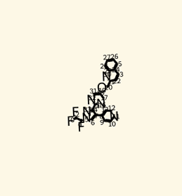 FC(F)C(F)n1cc(-c2ccncc2)c(-c2ncc(OCc3ccc4ccccc4n3)cn2)n1